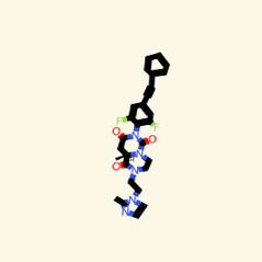 Cc1nccn1CCN1CCN2C(=O)N(c3c(F)cc(C#Cc4ccccc4)cc3F)C(=O)C[C@@]2(C)C1=O